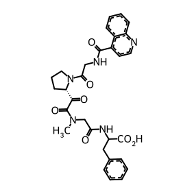 CN(CC(=O)NC(Cc1ccccc1)C(=O)O)C(=O)C(=O)[C@@H]1CCCN1C(=O)CNC(=O)c1ccnc2ccccc12